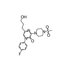 CS(=O)(=O)N1CCN(c2nc(CCCO)cn(-c3ccc(F)cc3)c2=O)CC1